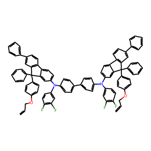 C=CCOc1ccc(C2(c3ccccc3)c3cc(-c4ccccc4)ccc3-c3ccc(N(c4ccc(-c5ccc(N(c6ccc(F)c(F)c6)c6ccc7c(c6)C(c6ccccc6)(c6ccc(OCC=C)cc6)c6cc(-c8ccccc8)ccc6-7)cc5)cc4)c4ccc(F)c(F)c4)cc32)cc1